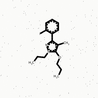 CCCOc1c(C)c(-c2ccccc2I)nn1CCC